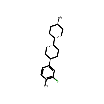 CCC[C@H]1CC[C@H]([C@H]2CC[C@H](c3ccc(C#N)c(F)c3)CC2)CC1